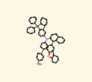 CC(C)(C)c1ccc(-c2ccc(N(c3ccc4c(c3)-c3ccccc3C4(c3ccccc3)c3ccccc3)c3ccc4ccccc4c3-c3ccc4oc5ccccc5c4c3)cc2)cc1